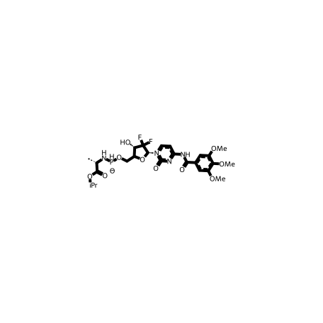 COc1cc(C(=O)Nc2ccn([C@@H]3OC(CO[PH](=O)N[C@@H](C)C(=O)OC(C)C)[C@H](O)C3(F)F)c(=O)n2)cc(OC)c1OC